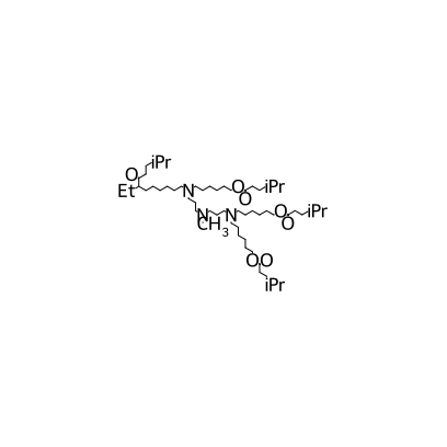 CCC(CCCCCCN(CCCCCCOC(=O)CCC(C)C)CCCN(C)CCCN(CCCCCCOC(=O)CCC(C)C)CCCCCCOC(=O)CCC(C)C)C(=O)CCC(C)C